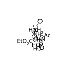 C=C(/C=C\C(=C/C)c1ccccc1)C[C@H](C[C@@H](O)C(=O)OCC)NC(=O)c1cc(C(C)=O)nn1COP(=O)(O)O